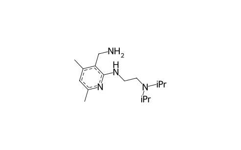 Cc1cc(C)c(CN)c(NCCN(C(C)C)C(C)C)n1